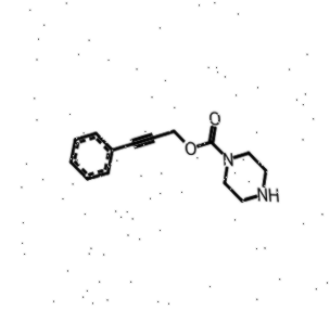 O=C(OCC#Cc1ccccc1)N1CCNCC1